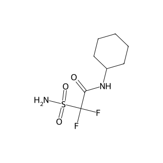 NS(=O)(=O)C(F)(F)C(=O)NC1CCCCC1